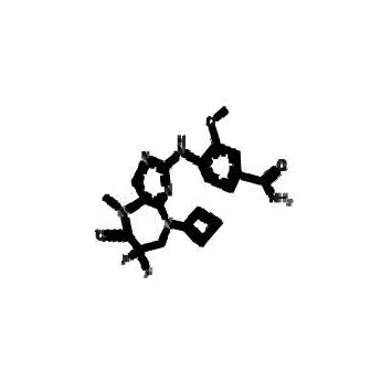 COc1cc(C(N)=O)ccc1Nc1ncc2c(n1)N(C1=CC=C1)CC(F)(F)C(=O)N2C